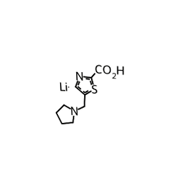 O=C(O)c1ncc(CN2CCCC2)s1.[Li]